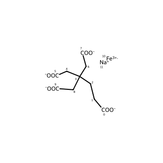 O=C([O-])CCC(CC(=O)[O-])(CC(=O)[O-])CC(=O)[O-].[Fe+3].[Na+]